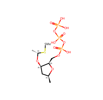 CSS[C@@H](C)O[C@@H]1C[C@H](C)O[C@@H]1COP(=O)(O)OP(=O)(O)OP(=O)(O)O